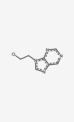 [O]CCn1cnc2cncnc21